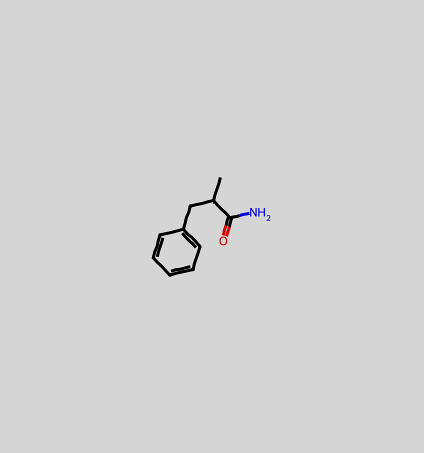 C[C](Cc1ccccc1)C(N)=O